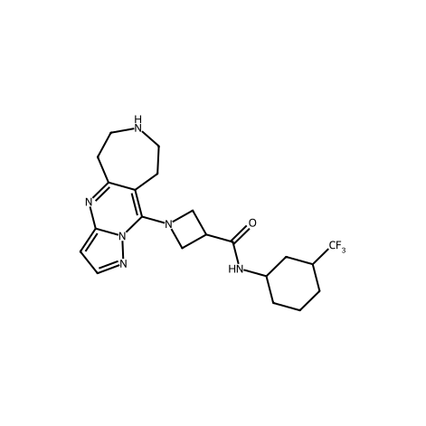 O=C(NC1CCCC(C(F)(F)F)C1)C1CN(c2c3c(nc4ccnn24)CCNCC3)C1